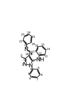 Cc1nn(-c2ccccc2)c(Nc2ccccc2)c1N=Nc1ccccc1